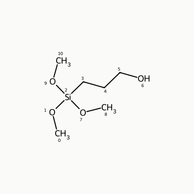 CO[Si](CCCO)(OC)OC